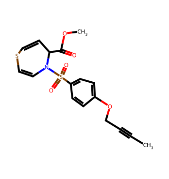 CC#CCOc1ccc(S(=O)(=O)N2C=CSC=CC2C(=O)OC)cc1